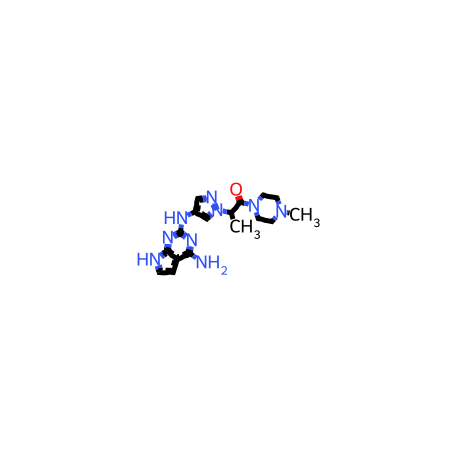 CC(C(=O)N1CCN(C)CC1)n1cc(Nc2nc(N)c3cc[nH]c3n2)cn1